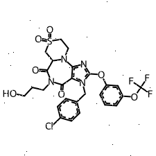 O=C1c2c(nc(Oc3cccc(OC(F)(F)F)c3)n2Cc2ccc(Cl)cc2)N2CCS(=O)(=O)CC2C(=O)N1CCCO